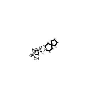 O=P(O)(O)CP(=O)(O)ON1CCC2(CCCC2)CC1